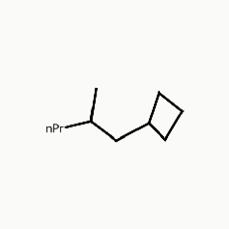 CCCC(C)CC1CCC1